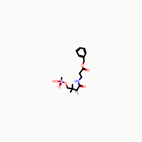 C[C@@H](C(=O)NCCC(=O)OCc1ccccc1)C(C)(C)COP(C)(=O)O